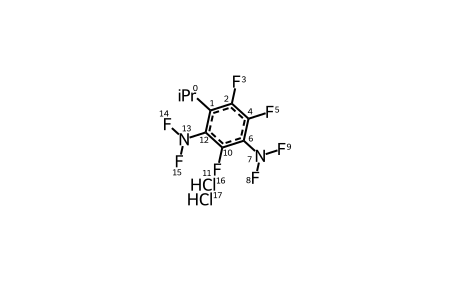 CC(C)c1c(F)c(F)c(N(F)F)c(F)c1N(F)F.Cl.Cl